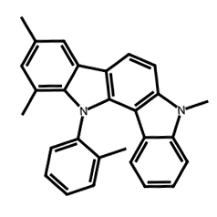 Cc1cc(C)c2c(c1)c1ccc3c(c4ccccc4n3C)c1n2-c1ccccc1C